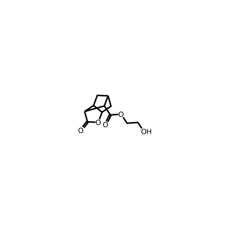 O=C(OCCO)C1C2CC3OC(=O)C1C3C2